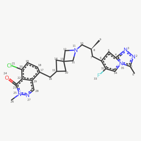 Cc1nnc2cc(C[C@H](C)CN3CC4(CC(Cc5ccc(Cl)c6c(=O)n(C)ncc56)C4)C3)c(F)cn12